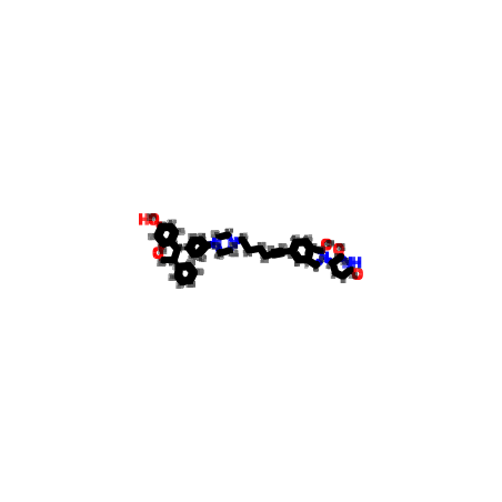 O=C1CCC(N2Cc3cc(C#CCCCCN4CCN(c5ccc([C@H]6c7ccc(O)cc7OC[C@H]6c6ccccc6)cc5)CC4)ccc3C2=O)C(=O)N1